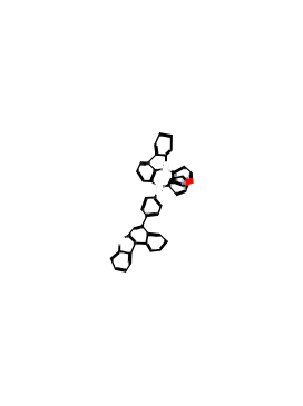 c1ccc(N(c2ccc(-c3cc4sc5ccccc5c4c4ccccc34)cc2)c2cccc3c4ccccc4n(-c4ccccc4)c23)cc1